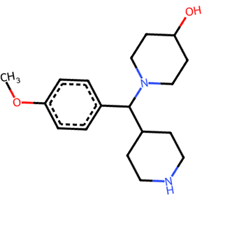 COc1ccc(C(C2CCNCC2)N2CCC(O)CC2)cc1